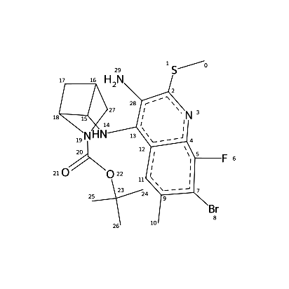 CSc1nc2c(F)c(Br)c(C)cc2c(NC2C3CC2N(C(=O)OC(C)(C)C)C3)c1N